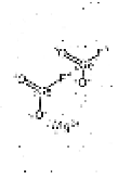 [Mg+2].[O]=[Ge]([O-])[F].[O]=[Ge]([O-])[F]